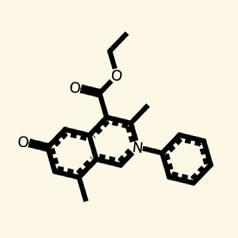 CCOC(=O)c1c2cc(=O)cc(C)c-2cn(-c2ccccc2)c1C